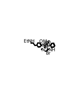 C=N/C(=N\C(Nc1ccccc1NS(C)(=O)=O)=C(/C)Br)NC1=C(OC)CC(CCCNCC)C=C1